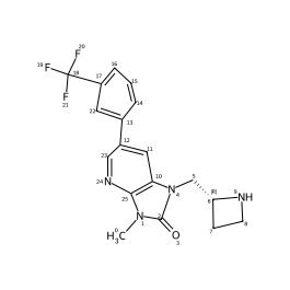 Cn1c(=O)n(C[C@H]2CCN2)c2cc(-c3cccc(C(F)(F)F)c3)cnc21